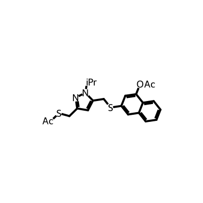 CC(=O)Oc1cc(SCc2cc(CSC(C)=O)nn2C(C)C)cc2ccccc12